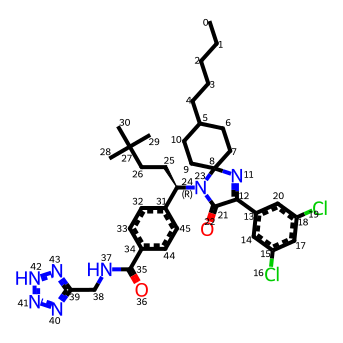 CCCCCC1CCC2(CC1)N=C(c1cc(Cl)cc(Cl)c1)C(=O)N2[C@H](CCC(C)(C)C)c1ccc(C(=O)NCc2nn[nH]n2)cc1